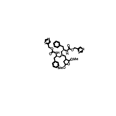 COC1CC(CN(C[C@@H](Cc2ccccc2)NC(=O)OCc2cncs2)C[C@@H](Cc2ccccc2)NC(=O)OCc2cncs2)C(OC)O1